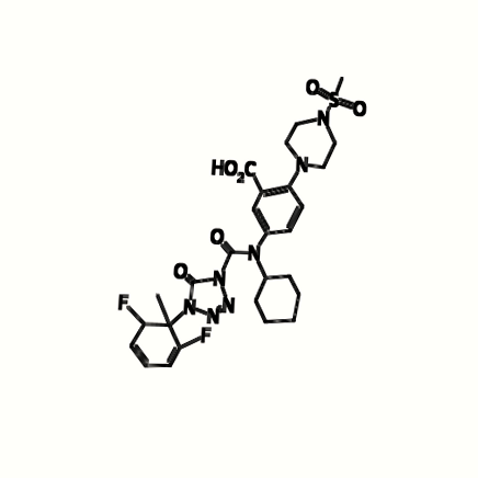 CC1(n2nnn(C(=O)N(c3ccc(N4CCN(S(C)(=O)=O)CC4)c(C(=O)O)c3)C3CCCCC3)c2=O)C(F)=CC=CC1F